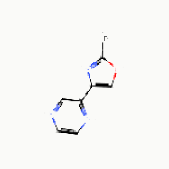 CC(C)c1nc(-c2cnccn2)co1